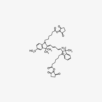 CC1(C)C(/C=C/C=C/C=C2/N(CCCCCC(=O)ON3C(=O)CCC3=O)c3ccc(S(=O)(=O)O)cc3C2(C)C)=[N+](CCCCCC(=O)ON2C(=O)CCC2=O)c2ccccc21